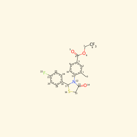 Cc1cc(C(=O)OCC(F)(F)F)ccc1N1C(=O)CSC1c1ccc(F)cc1